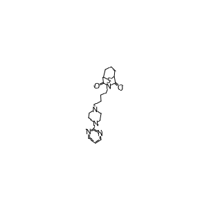 O=C1C2CCCC(S2)C(=O)N1CCCCN1CCN(c2ncccn2)CC1